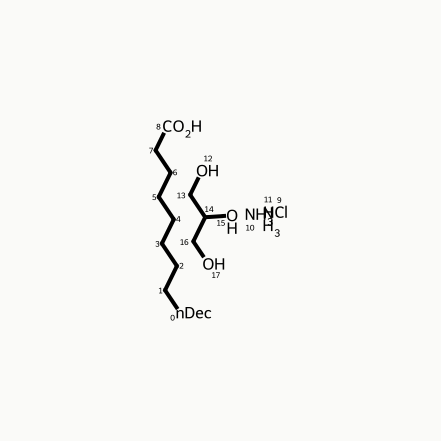 CCCCCCCCCCCCCCCCCC(=O)O.Cl.N.N.OCC(O)CO